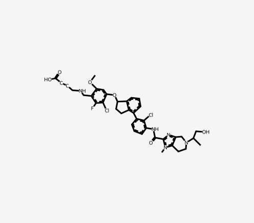 COc1cc(OC2CCc3c(-c4cccc(NC(=O)c5nc6c(n5C)CCN(C(C)CO)C6)c4Cl)cccc32)c(Cl)c(F)c1CNCCCC(=O)O